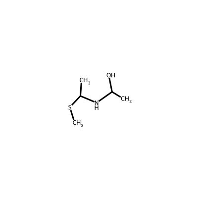 CSC(C)NC(C)O